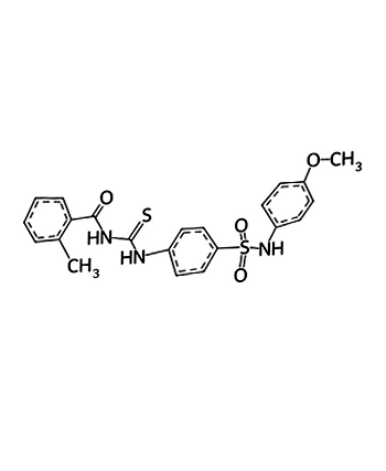 COc1ccc(NS(=O)(=O)c2ccc(NC(=S)NC(=O)c3ccccc3C)cc2)cc1